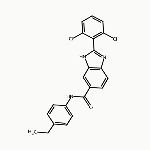 CCc1ccc(NC(=O)c2ccc3nc(-c4c(Cl)cccc4Cl)[nH]c3c2)cc1